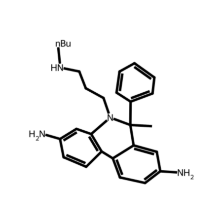 CCCCNCCCN1c2cc(N)ccc2-c2ccc(N)cc2C1(C)c1ccccc1